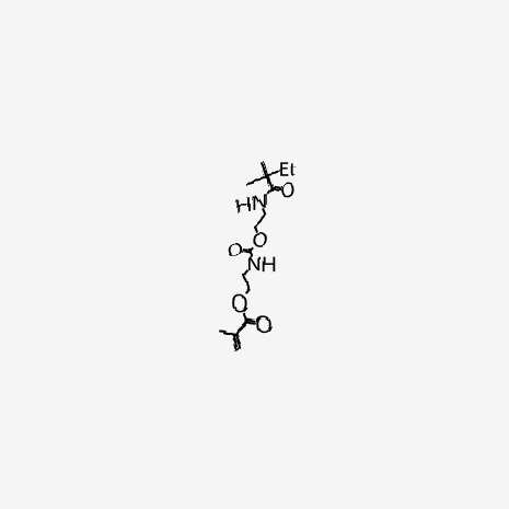 C=C(C)C(=O)OCCNC(=O)OCCNC(=O)C(C)(C)CC